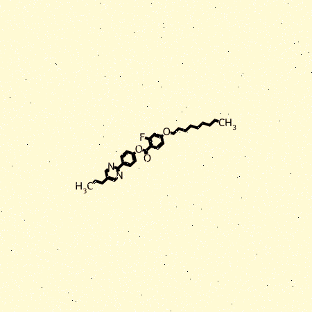 CCCCCCCCCOc1ccc(C(=O)Oc2ccc(-c3ncc(CCC)cn3)cc2)c(F)c1